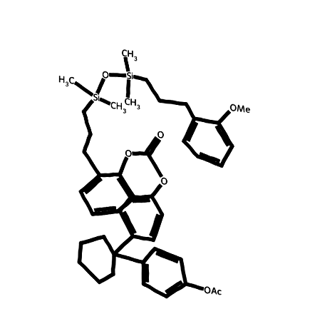 COc1ccccc1CCC[Si](C)(C)O[Si](C)(C)CCCc1ccccc1OC(=O)Oc1ccc(C2(c3ccc(OC(C)=O)cc3)CCCCC2)cc1